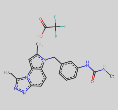 CCNC(=O)Nc1cccc(Cn2c(C)cc3c2ccc2nnc(C)n23)c1.O=C(O)C(F)(F)F